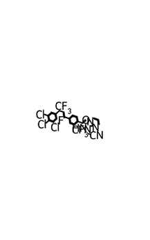 N#CCN(NC(=O)c1ccc(C(F)=CC(c2cc(Cl)c(Cl)c(Cl)c2)C(F)(F)F)cc1C(F)(F)F)c1ncccn1